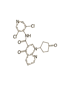 O=C1CCC(n2cc(C(=O)Nc3c(Cl)cncc3Cl)c(=O)c3cccnc32)CC1